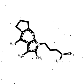 Cc1c(C)n(CCCN(C)C)c2nc3c(c(N)c12)CCC3